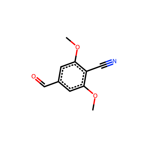 COc1cc(C=O)cc(OC)c1C#N